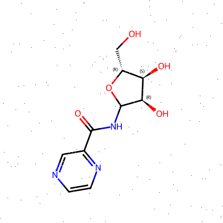 O=C(NC1O[C@H](CO)[C@@H](O)[C@H]1O)c1cnccn1